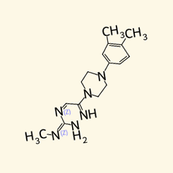 C/N=C(N)\N=C/C(=N)N1CCN(c2ccc(C)c(C)c2)CC1